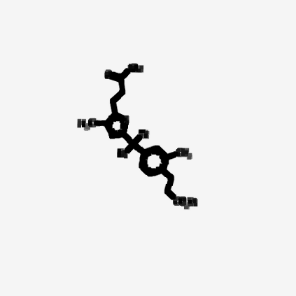 CCOC(=O)CCc1ccc(C(CC)(CC)c2cc(C)c(CCC(=O)C(C)(C)C)s2)cc1C